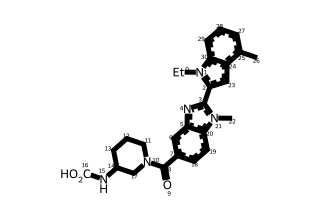 CCn1c(-c2nc3cc(C(=O)N4CCCC(NC(=O)O)C4)ccc3n2C)cc2c(C)cccc21